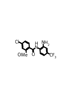 COc1cc(Cl)ccc1C(=O)Nc1ccc(C(F)(F)F)cc1N